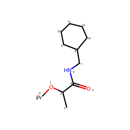 CC(C)OC(C)C(=O)NCC1CCCCC1